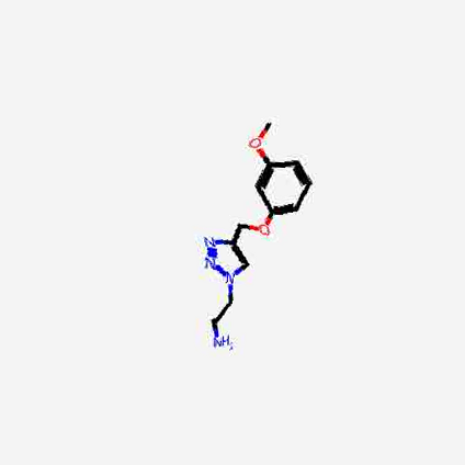 COc1cccc(OCc2cn(CCN)nn2)c1